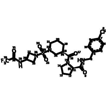 O=C(NCc1ccc(C(F)(F)F)cc1)[C@H]1CCCN1C(=O)[C@H]1CCCN(S(=O)(=O)N2CC(NC(=O)C(F)(F)F)C2)C1